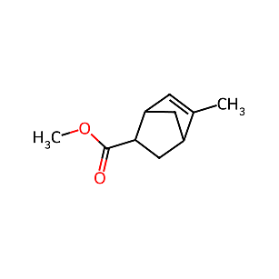 COC(=O)C1CC2CC1C=C2C